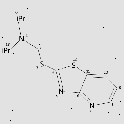 CC(C)N(CSc1nc2ncccc2s1)C(C)C